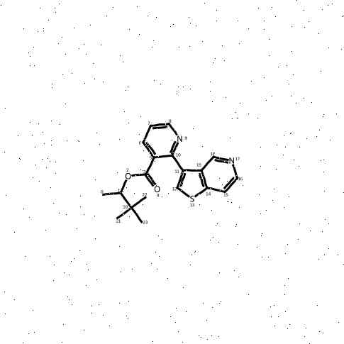 CC(OC(=O)c1cccnc1-c1csc2ccncc12)C(C)(C)C